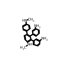 CNc1ccc(-c2ccc(NC)c(-c3cccc(N)c3)c2-c2cccc(N)c2)cc1